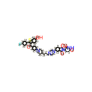 O=C1CCC(N2C(=O)c3ccc(N4CCN(CCCC5CCN(c6ccc(C(=O)c7c(-c8ccc(F)cc8)sc8cc(O)ccc78)cc6)CC5)CC4)cc3C2=O)C(=O)N1